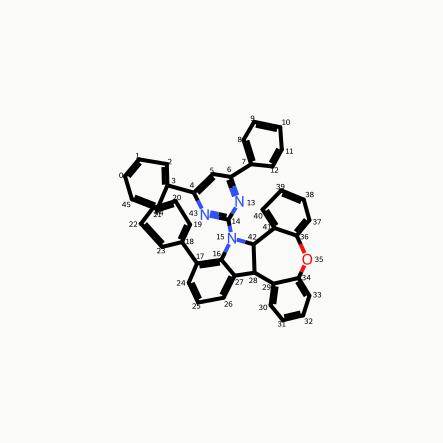 c1ccc(-c2cc(-c3ccccc3)nc(N3c4c(-c5ccccc5)cccc4C4c5ccccc5Oc5ccccc5C43)n2)cc1